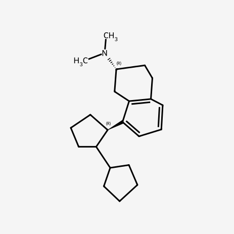 CN(C)[C@@H]1CCc2cccc([C@@H]3CCCC3C3CCCC3)c2C1